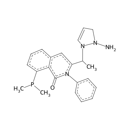 CC(c1cc2cccc(P(C)C)c2c(=O)n1-c1ccccc1)N1C=CCN1N